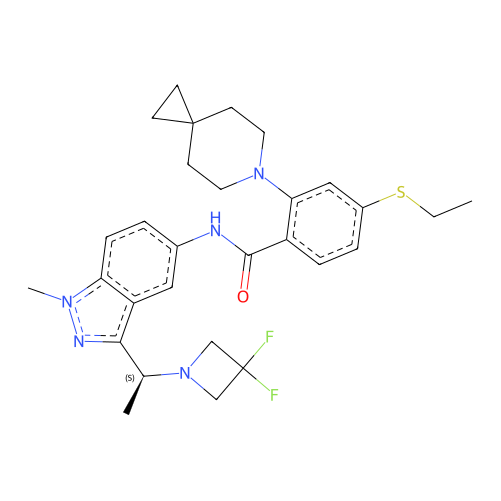 CCSc1ccc(C(=O)Nc2ccc3c(c2)c([C@H](C)N2CC(F)(F)C2)nn3C)c(N2CCC3(CC2)CC3)c1